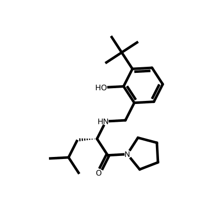 CC(C)C[C@H](NCc1cccc(C(C)(C)C)c1O)C(=O)N1CCCC1